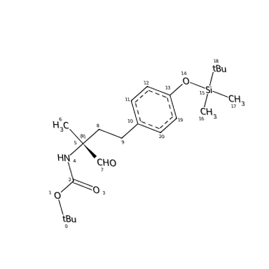 CC(C)(C)OC(=O)N[C@@](C)(C=O)CCc1ccc(O[Si](C)(C)C(C)(C)C)cc1